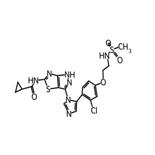 CS(=O)(=O)NCCOc1ccc(-c2cncn2-c2n[nH]c3nc(NC(=O)C4CC4)sc23)c(Cl)c1